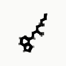 C=CCNCC(O)COc1cccc2c1C=CC2